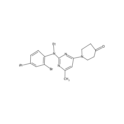 CCN(c1nc(C)cc(N2CCC(=O)CC2)n1)c1ccc(C(C)C)cc1Br